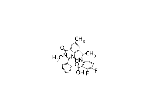 Cc1cc([C@@H](C)Nc2ccc(F)c(F)c2C(=O)O)c2nc(-c3ccccc3)n(C)c(=O)c2c1